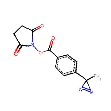 CC1(c2ccc(C(=O)ON3C(=O)CCC3=O)cc2)N=N1